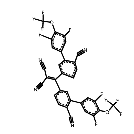 N#CC(C#N)=C(c1ccc(C#N)c(-c2cc(F)c(OC(F)(F)F)c(F)c2)c1)c1ccc(C#N)c(-c2cc(F)c(OC(F)(F)F)c(F)c2)c1